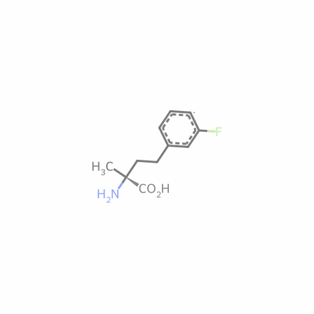 C[C@@](N)(CCc1cc[c]c(F)c1)C(=O)O